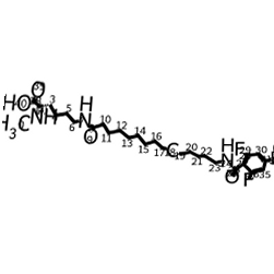 CN[C@@H](CCCCNC(=O)CCCCCCCCCCCCCCNC(=O)c1c(F)cc(B(O)O)cc1F)C(=O)O